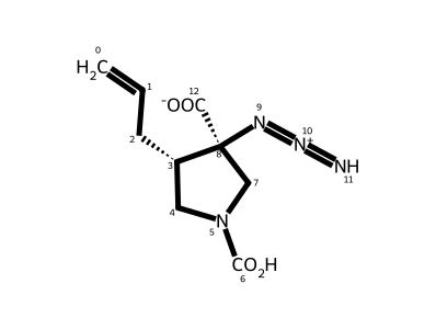 C=CC[C@H]1CN(C(=O)O)C[C@@]1(N=[N+]=N)C(=O)[O-]